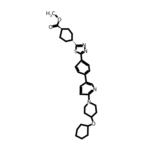 COC(=O)[C@H]1CC[C@H](c2nnc(-c3ccc(-c4ccc(N5CCC(OC6CCCCC6)CC5)nc4)cc3)s2)CC1